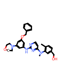 Cc1ccc(CO)cc1N(C)c1ccnc(Nc2cc(OCc3ccccc3)cc(N3CCOCC3)c2)n1